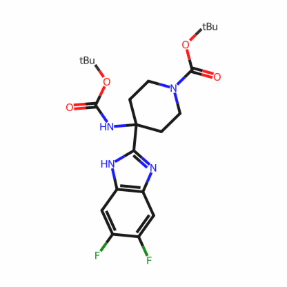 CC(C)(C)OC(=O)NC1(c2nc3cc(F)c(F)cc3[nH]2)CCN(C(=O)OC(C)(C)C)CC1